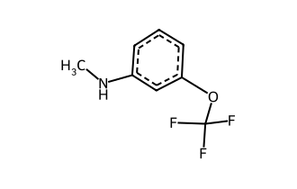 CNc1cccc(OC(F)(F)F)c1